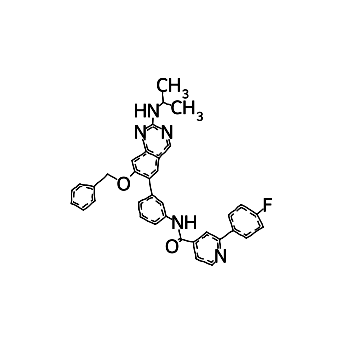 CC(C)Nc1ncc2cc(-c3cccc(NC(=O)c4ccnc(-c5ccc(F)cc5)c4)c3)c(OCc3ccccc3)cc2n1